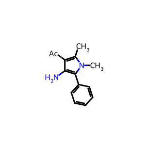 CC(=O)c1c(N)c(-c2ccccc2)n(C)c1C